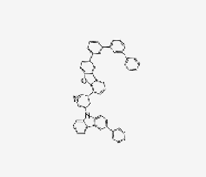 c1ccc(-c2cccc(-c3cccc(-c4ccc5oc6c(-c7cncc(-n8c9ccccc9c9cc(-c%10ccccc%10)ccc98)c7)cccc6c5c4)c3)c2)cc1